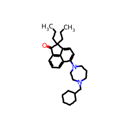 CCCC1(CCC)C(=O)c2cccc3c(N4CCCN(CC5CCCCC5)CC4)ccc1c23